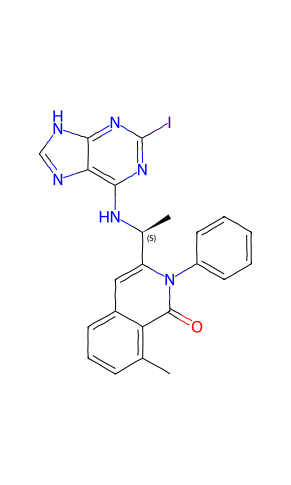 Cc1cccc2cc([C@H](C)Nc3nc(I)nc4[nH]cnc34)n(-c3ccccc3)c(=O)c12